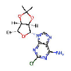 CC[C@H]1O[C@@H](n2cnc3c(N)nc(Cl)nc32)[C@@H]2OC(C)(C)O[C@@H]21